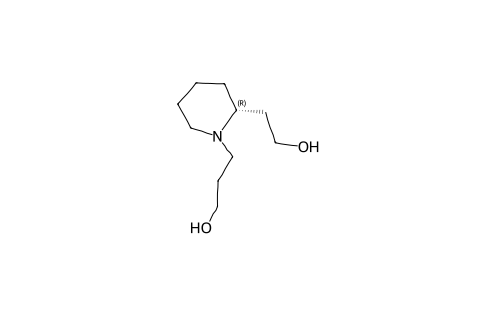 OCCCN1CCCC[C@@H]1CCO